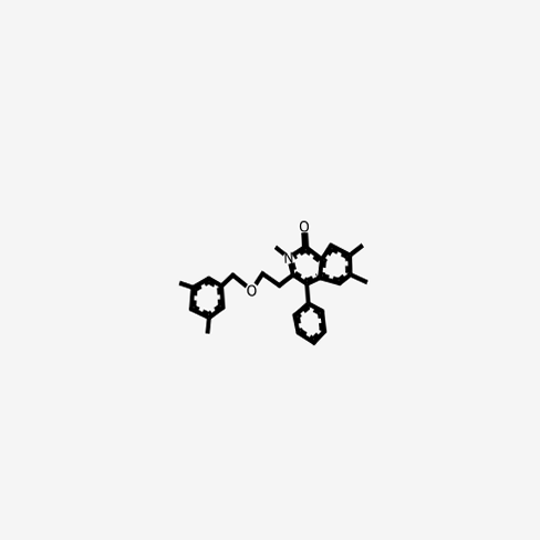 Cc1cc(C)cc(COCCc2c(-c3ccccc3)c3cc(C)c(C)cc3c(=O)n2C)c1